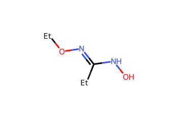 CCO/N=C(\CC)NO